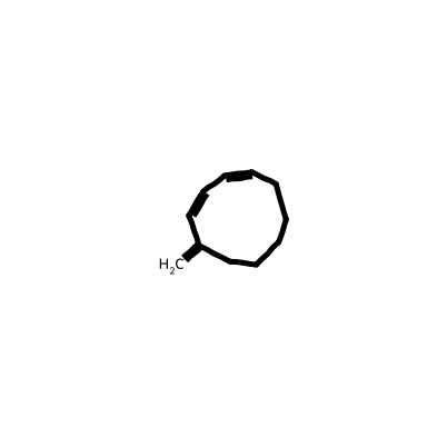 C=C1/C=C\C=C/CCCCC1